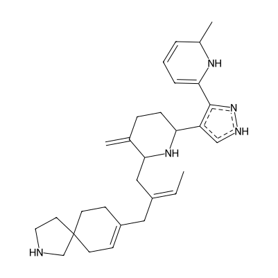 C=C1CCC(c2c[nH]nc2C2=CC=CC(C)N2)NC1C/C(=C\C)CC1=CCC2(CCNC2)CC1